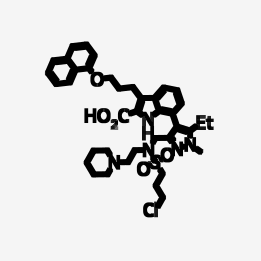 CCc1c(-c2cccc3c(CCCOc4cccc5ccccc45)c(C(=O)O)[nH]c23)c(CN(CCN2CCCCC2)S(=O)(=O)CCCCl)nn1C